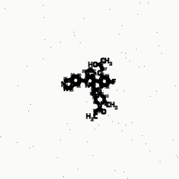 C=CC(=O)N1Cc2cc(-c3nc(-c4ccc5cnncc5c4)c4ccsc4c3-c3c(F)cc(F)cc3OCC(C)O)nn2CC1C